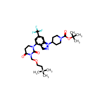 CC(C)(C)OC(=O)N1CCC(n2ncc3c(N4CCC(=O)N(COCC[Si](C)(C)C)C4=O)cc(C(F)(F)F)cc32)CC1